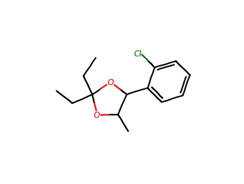 CCC1(CC)OC(C)C(c2ccccc2Cl)O1